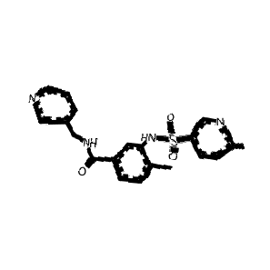 Cc1ccc(S(=O)(=O)Nc2cc(C(=O)NCc3cccnc3)ccc2C)cn1